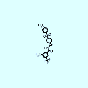 Cc1ccc(S(=O)(=O)N2CCC3(CC2)CC3NC(=O)c2cc(C)cc(C(F)(F)F)c2)cc1